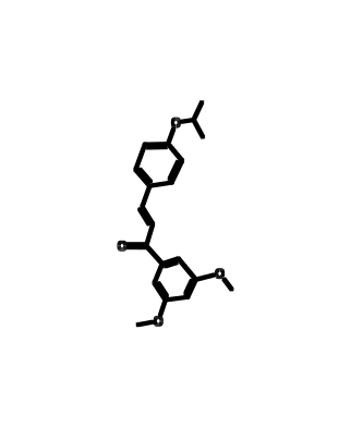 COc1cc(OC)cc(C(=O)C=Cc2ccc(OC(C)C)cc2)c1